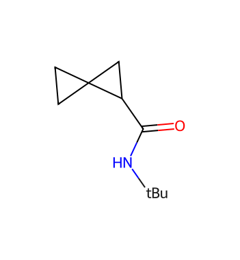 CC(C)(C)NC(=O)C1CC12CC2